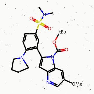 COc1cnc2cc(-c3cc(S(=O)(=O)N(C)C)ccc3N3CCCC3)n(C(=O)OC(C)(C)C)c2c1